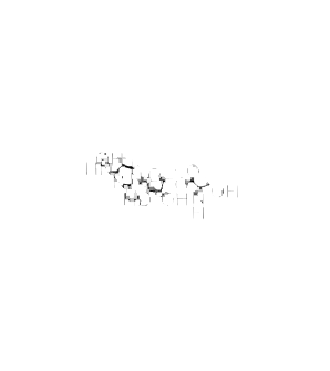 N[C@@H](CO)C(=O)OC[C@H]1O[C@@H](n2ccc(NO)nc2=O)[C@H](O)[C@@H]1O